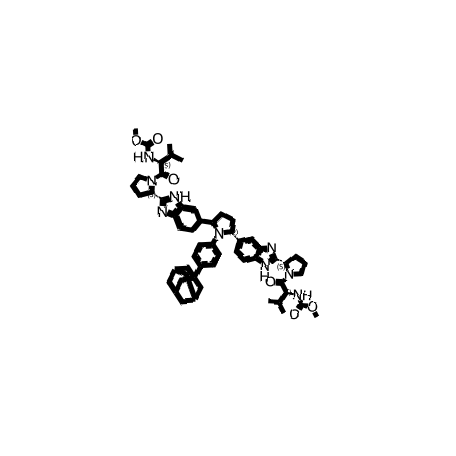 COC(=O)N[C@H](C(=O)N1CCC[C@H]1c1nc2c([nH]1)=CC(C1CC[C@H](c3ccc4[nH]c([C@@H]5CCCN5C(=O)[C@@H](NC(=O)OC)C(C)C)nc4c3)N1c1ccc(C34CC5CC(CC(C5)C3)C4)cc1)CC=2)C(C)C